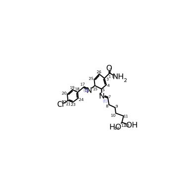 NC(=O)C1=CC(/N=C/CCCCC(O)O)C(/N=C/c2ccc(Cl)cc2)C=C1